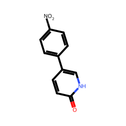 O=c1ccc(-c2ccc([N+](=O)[O-])cc2)c[nH]1